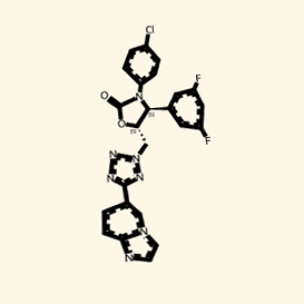 O=C1O[C@@H](Cn2nnc(-c3ccc4nccn4c3)n2)[C@H](c2cc(F)cc(F)c2)N1c1ccc(Cl)cc1